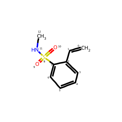 C=Cc1ccccc1S(=O)(=O)NC